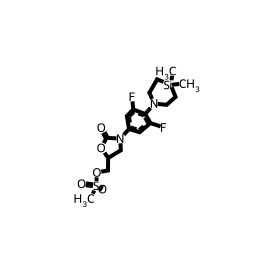 C[Si]1(C)CCN(c2c(F)cc(N3CC(COS(C)(=O)=O)OC3=O)cc2F)CC1